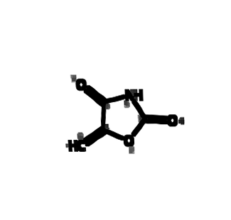 [CH]=C1OC(=O)NC1=O